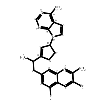 CC(Cc1cc(F)c2cc(Br)c(N)nc2c1)C1=CC(n2ccc3c(N)ncnc32)CC1